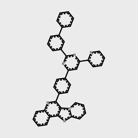 c1ccc(-c2cccc(-c3nc(-c4ccc(-c5nc6ccccc6c6nc7ccccn7c56)cc4)cc(-c4ccccn4)n3)c2)cc1